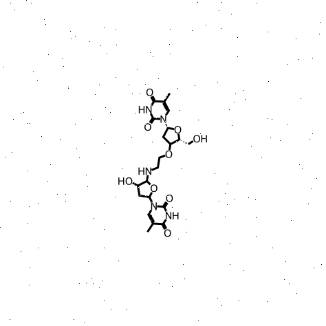 Cc1cn(C2CC(O)C(NCCOC3C[C@H](n4cc(C)c(=O)[nH]c4=O)O[C@@H]3CO)O2)c(=O)[nH]c1=O